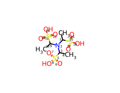 CC(N(C(C)S(=O)(=O)O)C(C)S(=O)(=O)O)S(=O)(=O)O